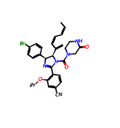 C=C(/C=C\C=C/C)[C@@H]1[C@H](c2ccc(Br)cc2)N=C(c2ccc(C#N)cc2OC(C)C)N1C(=O)N1CCNC(=O)C1